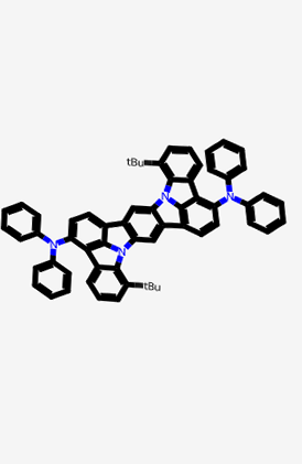 CC(C)(C)c1cccc2c3c(N(c4ccccc4)c4ccccc4)ccc4c5cc6c(cc5n(c12)c43)c1ccc(N(c2ccccc2)c2ccccc2)c2c3cccc(C(C)(C)C)c3n6c12